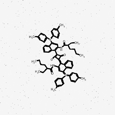 CCCCC(CC)C(=O)NC1=CC(=[N+](c2ccc(C)cc2)c2ccc(C)cc2)c2ccccc2/C1=C1\C(=O)C(c2c(NC(=O)C(CC)CCCC)cc(N(c3ccc(C)cc3)c3ccc(C)cc3)c3ccccc23)=C1[O-]